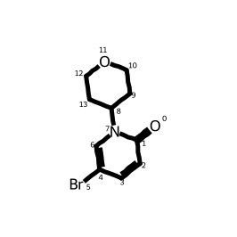 O=c1ccc(Br)cn1C1CCOCC1